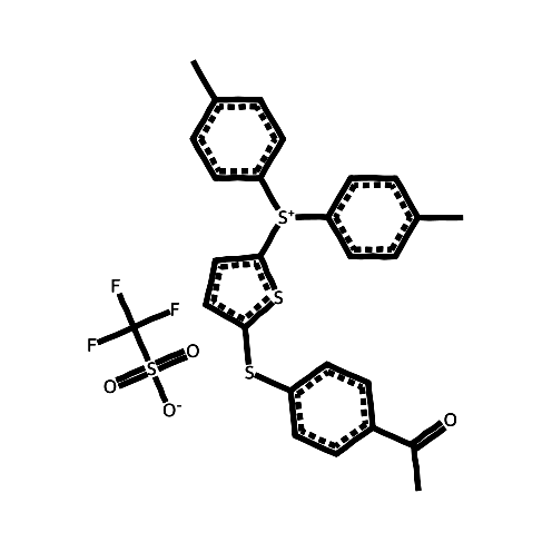 CC(=O)c1ccc(Sc2ccc([S+](c3ccc(C)cc3)c3ccc(C)cc3)s2)cc1.O=S(=O)([O-])C(F)(F)F